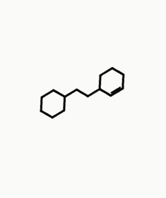 C1=C[C](CCC2CCCCC2)CCC1